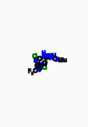 CC(C)(C)N1CCC(N2C=C([C@@H](Nc3cc(Cl)c4ncc(C#N)c(Nc5ccn(CC(F)(F)F)n5)c4c3)c3ccc(Cl)cc3)NN2)CC1